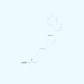 C#CP(=O)(CC1CCC(c2ccc(-n3cnc4c(Cl)ncnc43)cc2)CC1)OC(C)C